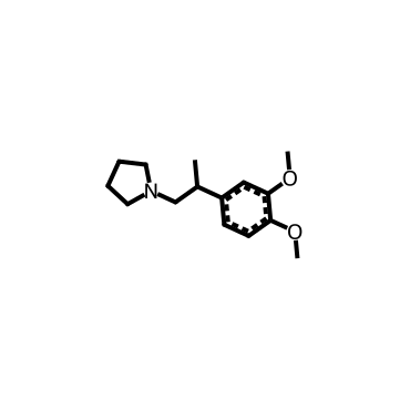 COc1ccc(C(C)CN2CCCC2)cc1OC